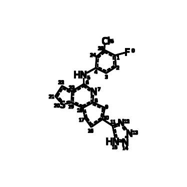 Fc1ccc(Nc2nc3cc(-c4nnn[nH]4)ccc3c3sccc23)cc1Cl